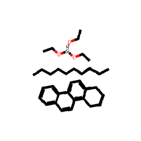 CCCCCCCCCC.CCO[SiH](OCC)OCC.c1ccc2c(c1)ccc1c3c(ccc12)CCCC3